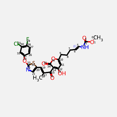 COC(=O)N/C=C/CCCc1cc(O)c(C(=O)C(C)=Cc2cnc(Oc3ccc(F)c(Cl)c3)s2)c(=O)o1